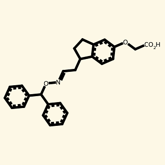 O=C(O)COc1ccc2c(c1)CCC2CC=NOC(c1ccccc1)c1ccccc1